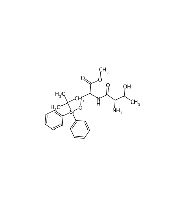 COC(=O)C(CO[Si](c1ccccc1)(c1ccccc1)C(C)(C)C)NC(=O)C(N)C(C)O